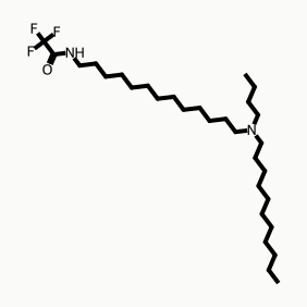 CCCCCCCCCCCN(CCCC)CCCCCCCCCCCCCNC(=O)C(F)(F)F